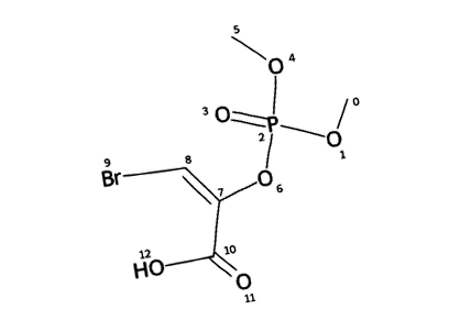 COP(=O)(OC)OC(=CBr)C(=O)O